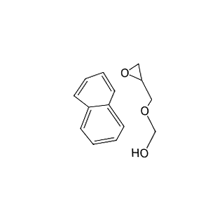 OCOCC1CO1.c1ccc2ccccc2c1